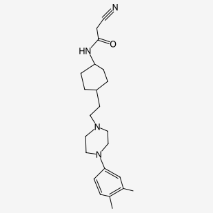 Cc1ccc(N2CCN(CCC3CCC(NC(=O)CC#N)CC3)CC2)cc1C